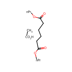 CC(=O)O.CCCOC(=O)CCCCC(=O)OCCC